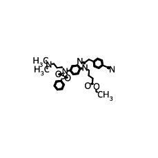 CCOC(=O)CCCn1c(Cc2ccc(C#N)cc2)nc2cc(N(CCCN(C)C)S(=O)(=O)c3ccccc3)ccc21